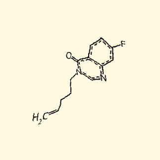 C=CCCCn1cnc2cc(F)ccc2c1=O